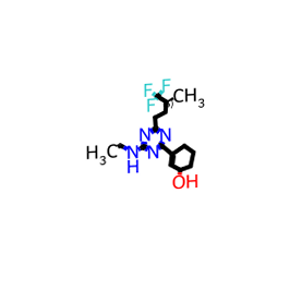 CCNc1nc(CC[C@H](C)C(F)(F)F)nc(C2=CC(O)CCC2)n1